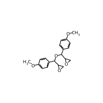 COc1ccc(C(OC(c2ccc(OC)cc2)C2CO2)C2CO2)cc1